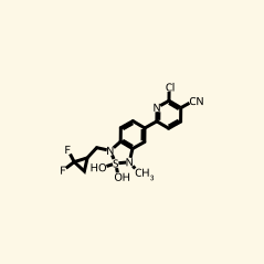 CN1c2cc(-c3ccc(C#N)c(Cl)n3)ccc2N(CC2CC2(F)F)S1(O)O